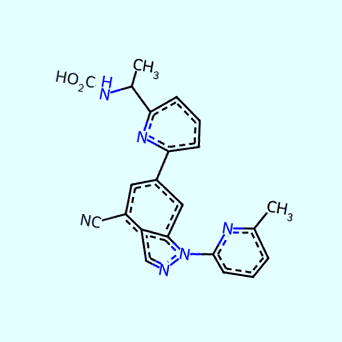 Cc1cccc(-n2ncc3c(C#N)cc(-c4cccc(C(C)NC(=O)O)n4)cc32)n1